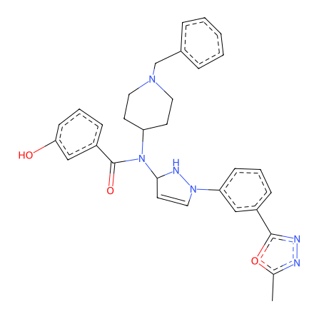 Cc1nnc(-c2cccc(N3C=CC(N(C(=O)c4cccc(O)c4)C4CCN(Cc5ccccc5)CC4)N3)c2)o1